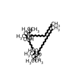 CCCCCCCCCCCCCCCCCC(=O)N(CCN(C)C)C(C(=O)NCCCCCCNC(=O)C(C(C)C)N(CCN(C)C)C(=O)CCCCCCCCCCCCCCCCC)C(C)C